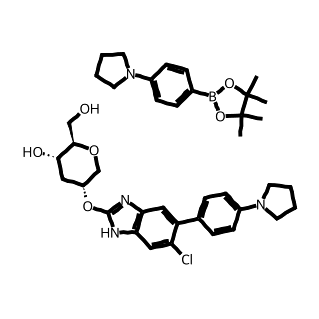 CC1(C)OB(c2ccc(N3CCCC3)cc2)OC1(C)C.OC[C@H]1OC[C@H](Oc2nc3cc(-c4ccc(N5CCCC5)cc4)c(Cl)cc3[nH]2)C[C@@H]1O